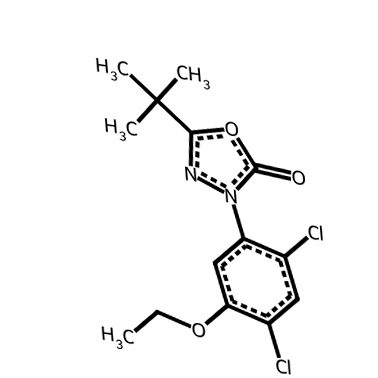 CCOc1cc(-n2nc(C(C)(C)C)oc2=O)c(Cl)cc1Cl